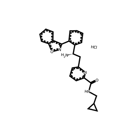 Cl.N[C@@H](Cc1cccc(C(=O)NCC2CC2)n1)c1ccccc1-c1noc2ccccc12